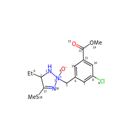 CCC1N[N+]([O-])(Cc2cc(Cl)cc(C(=O)OC)c2)N=C1SC